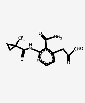 NC(=O)c1c(CC(=O)C=O)ccnc1NC(=O)C1(C(F)(F)F)CC1